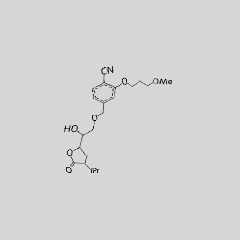 COCCCOc1cc(COCC(O)C2CC(C(C)C)C(=O)O2)ccc1C#N